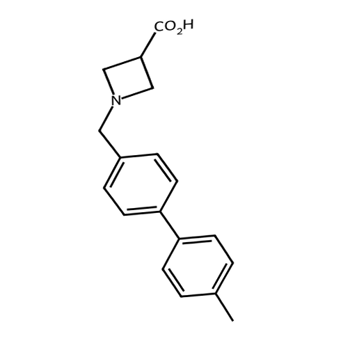 Cc1ccc(-c2ccc(CN3CC(C(=O)O)C3)cc2)cc1